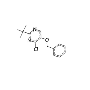 CC(C)(C)c1ncc(OCc2ccccc2)c(Cl)n1